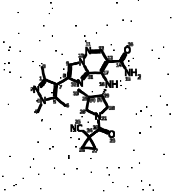 Cc1nn(C)c(C)c1-c1cn2ncc(C(N)=O)c(N[C@@H]3CN(C(=O)C4(C#N)CC4)C[C@H]3C)c2n1